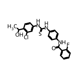 CC(O)c1ccc(NC(=S)Nc2ccc(NC(=O)c3ccccc3F)cc2)cc1Cl